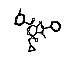 Cc1cccc(S(=O)(=O)C2N=C(c3ccccc3)N(C)C2S(=O)(=O)CC2CC2)c1